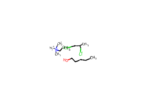 CC(Cl)CCl.CCCCCO.CC[N+](C)(C)C